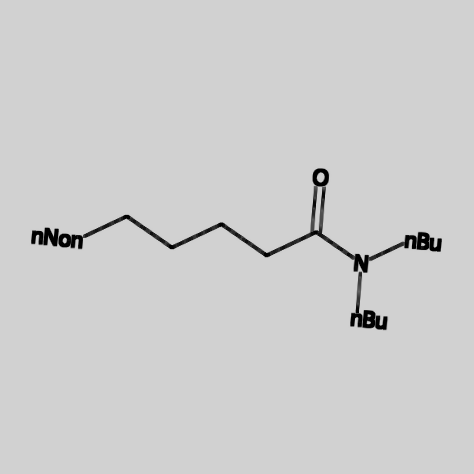 CCCCCCCCCCCCCC(=O)N(CCCC)CCCC